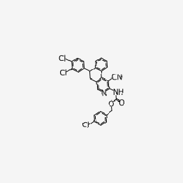 N#Cc1c(NC(=O)OCc2ccc(Cl)cc2)ncc2c1-c1ccccc1C(c1ccc(Cl)c(Cl)c1)C2